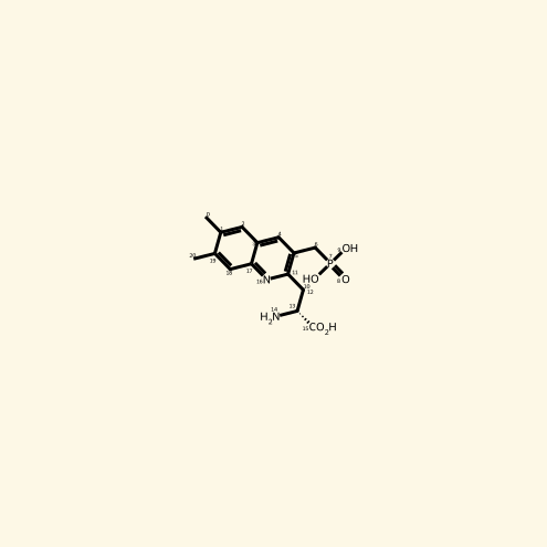 Cc1cc2cc(CP(=O)(O)O)c(C[C@@H](N)C(=O)O)nc2cc1C